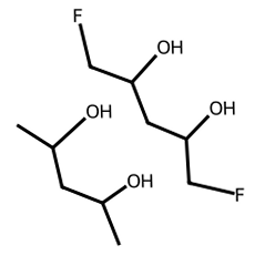 CC(O)CC(C)O.OC(CF)CC(O)CF